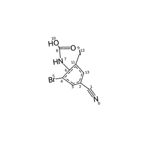 N#Cc1cc(Br)c(NC(=O)O)c(I)c1